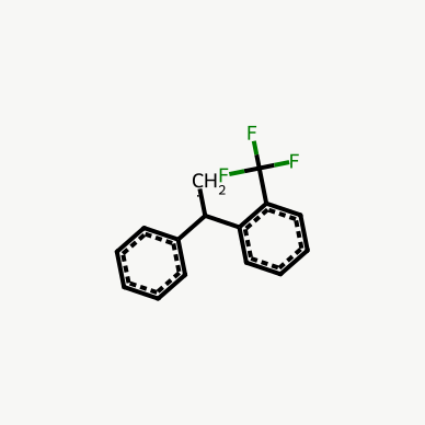 [CH2]C(c1ccccc1)c1ccccc1C(F)(F)F